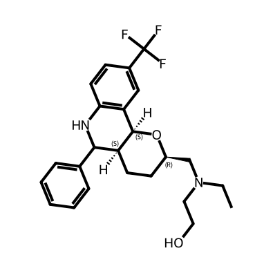 CCN(CCO)C[C@H]1CC[C@H]2C(c3ccccc3)Nc3ccc(C(F)(F)F)cc3[C@H]2O1